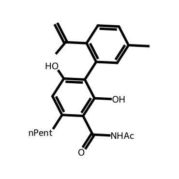 C=C(C)c1ccc(C)cc1-c1c(O)cc(CCCCC)c(C(=O)NC(C)=O)c1O